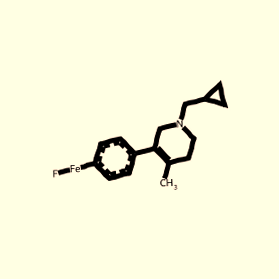 CC1=C(c2cc[c]([Fe][F])cc2)CN(CC2CC2)CC1